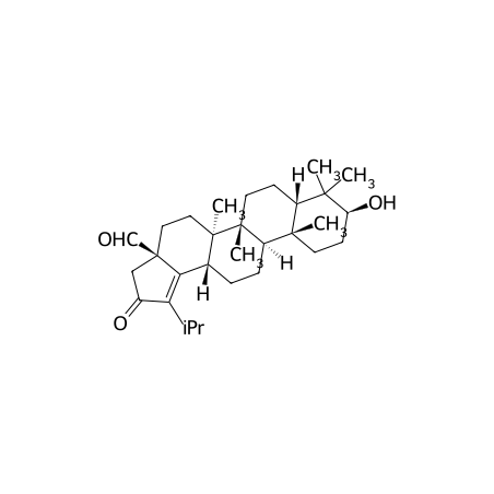 CC(C)C1=C2[C@H]3CC[C@@H]4[C@@]5(C)CC[C@H](O)C(C)(C)[C@H]5CC[C@@]4(C)[C@]3(C)CC[C@@]2(C=O)CC1=O